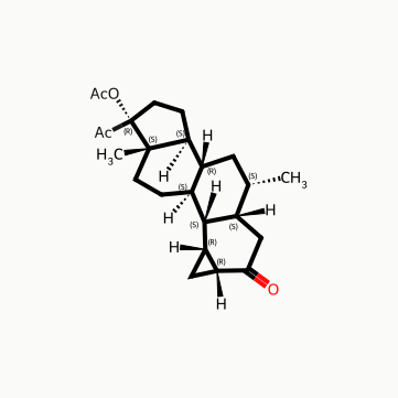 CC(=O)O[C@]1(C(C)=O)CC[C@H]2[C@@H]3C[C@H](C)[C@@H]4CC(=O)[C@@H]5C[C@@H]5[C@@H]4[C@H]3CC[C@@]21C